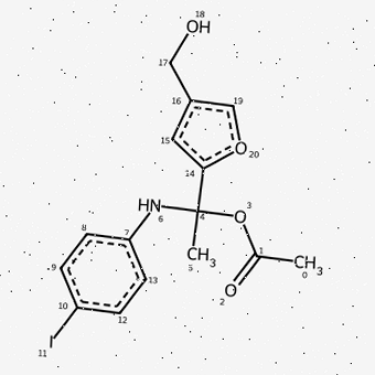 CC(=O)OC(C)(Nc1ccc(I)cc1)c1cc(CO)co1